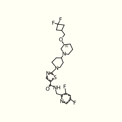 O=C(NCc1ncc(F)cc1F)c1cnc(N2CCC(N3CCC[C@H](OCC4CC(F)(F)C4)C3)CC2)s1